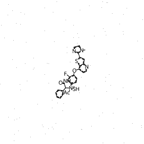 CC(=O)[N+](S)(c1ccc(Oc2ccnc3cc(-c4nccn4C)sc23)c(F)c1)C(C(N)=O)c1ccccc1